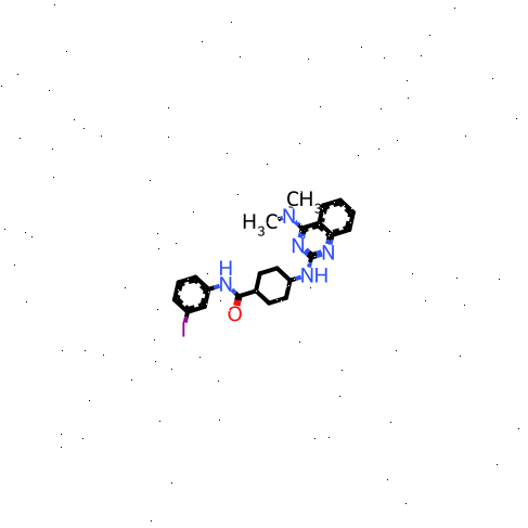 CN(C)c1nc(NC2CCC(C(=O)Nc3cccc(I)c3)CC2)nc2ccccc12